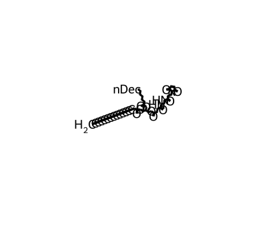 C=C=C=C=C=C=C=C=C=C=C=C=C=C=CC(=O)OCC(COC(=O)CCC(=O)NCNC(=O)CCN1C(=O)C=CC1=O)OC(=O)CCCCCCCCCCCCCCC